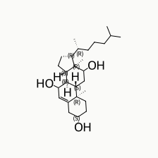 CC(C)CCC[C@@H](C)[C@H]1CC[C@H]2[C@@H]3C(O)C=C4C[C@@H](O)CC[C@]4(C)[C@H]3CC(O)[C@]12C